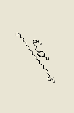 [Li][CH2]CCCCCCCCCCCCCCCCCCC.[Li][c]1ccc(CCCC)cc1